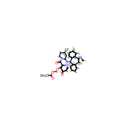 COC(=O)OCOc1c2n(ccc1=O)N(C1c3ccccc3-c3scnc3-c3c1ccc(F)c3F)C1CC(C(F)(F)F)CCN1C2=O